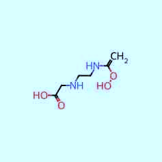 C=C(NCCNCC(=O)O)OO